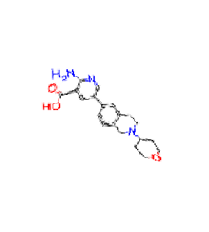 Nc1ncc(-c2ccc3c(c2)CCN(C2CCOCC2)C3)cc1C(=O)O